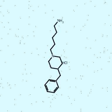 Cl.NCCCCCN1CCC(Cc2ccccc2)CC1